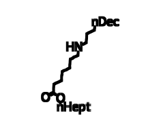 CCCCCCCCCCCCCNCCCCCCC(=O)OCCCCCCC